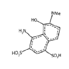 CNc1ccc2c(S(=O)(=O)O)cc(S(=O)(=O)O)c(N)c2c1O